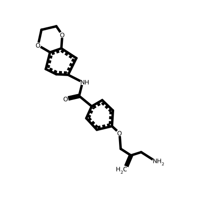 C=C(CN)COc1ccc(C(=O)Nc2ccc3c(c2)OCCO3)cc1